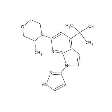 C[C@@H]1COCCN1c1cc(C(C)(C)O)c2ccn(-c3cc[nH]n3)c2n1